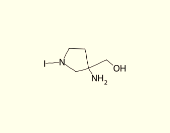 NC1(CO)CCN(I)C1